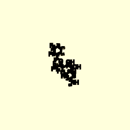 CNC1=N[C@@H]2[C@@H](O)[C@H](O)C([C@@H](OCc3cccc(F)c3F)C(F)(F)F)O[C@@H]2S1